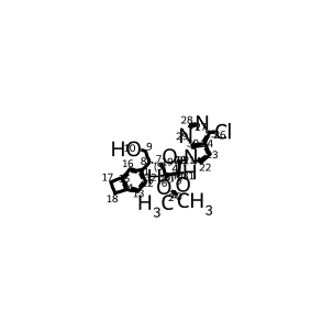 CC1(C)O[C@@H]2[C@H](O1)[C@H](C(CO)c1ccc3c(c1)CC3)O[C@H]2n1ccc2c(Cl)ncnc21